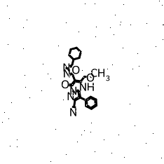 COCc1[nH]c2c(-c3ccccc3)c(C#N)nn2c(=O)c1-c1nnc(C2CCCCC2)o1